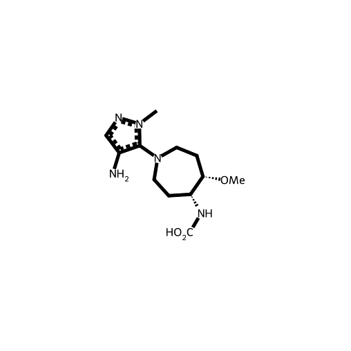 CO[C@H]1CCN(c2c(N)cnn2C)CC[C@H]1NC(=O)O